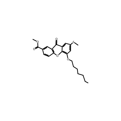 CCCCCCCOc1cc(SC)cc2c(=O)c3cc(C(=O)OC)ccc3oc12